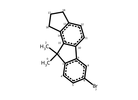 CC1(C)c2ccc(Br)cc2-c2ccc3c(c21)CCC3